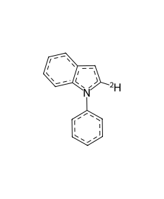 [2H]c1cc2ccccc2n1-c1ccccc1